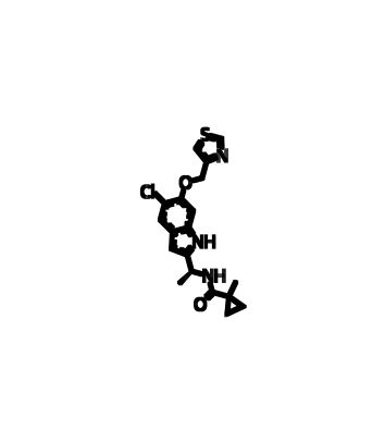 C[C@H](NC(=O)C1(C)CC1)c1cc2cc(Cl)c(OCc3cscn3)cc2[nH]1